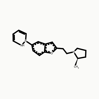 C[C@@H]1CCCN1CCc1cc2cc(N3C=CC=CN3)ccc2o1